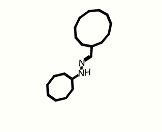 C(=N\NC1CCCCCCC1)/C1CCCCCCCCCC1